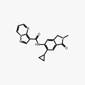 CN1Cc2cc(NC(=O)c3cnn4cccnc34)c(C3CC3)cc2C1=O